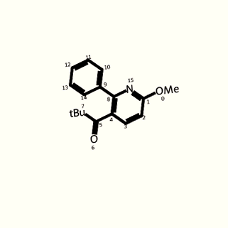 COc1ccc(C(=O)C(C)(C)C)c(-c2ccccc2)n1